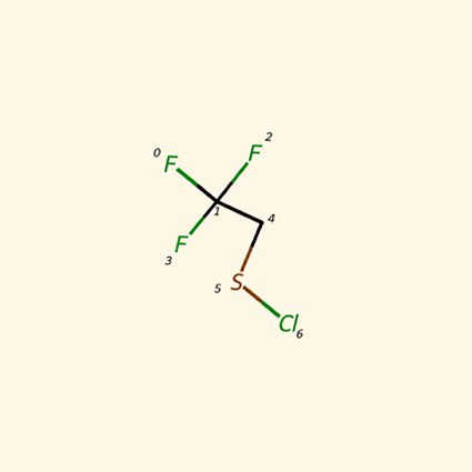 FC(F)(F)CSCl